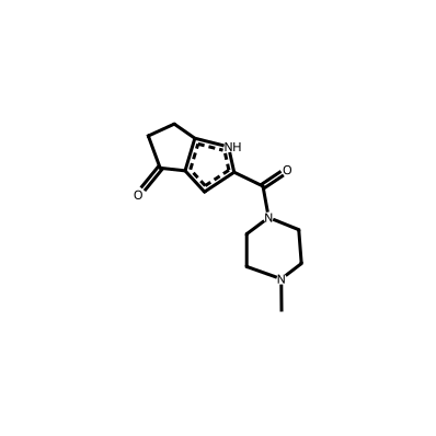 CN1CCN(C(=O)c2cc3c([nH]2)CCC3=O)CC1